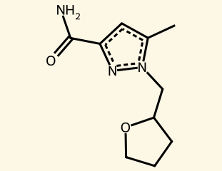 Cc1cc(C(N)=O)nn1CC1CCCO1